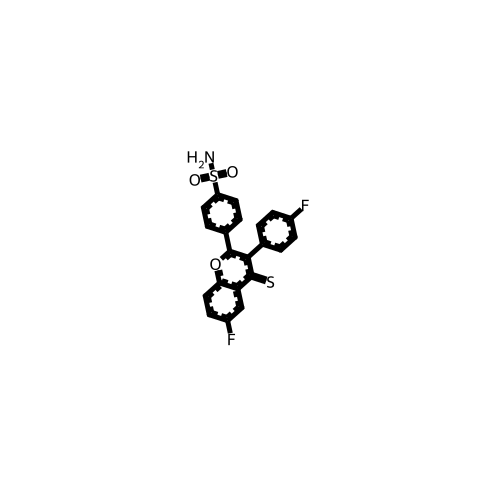 NS(=O)(=O)c1ccc(-c2oc3ccc(F)cc3c(=S)c2-c2ccc(F)cc2)cc1